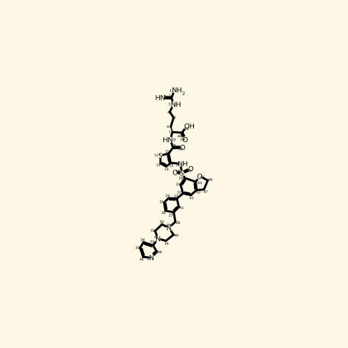 N=C(N)NCCC[C@H](NC(=O)c1sccc1NS(=O)(=O)c1cc(-c2cccc(CN3CCN(c4cccnc4)CC3)c2)cc2c1OCC2)C(=O)O